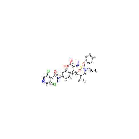 CC(C)CN([C@H](C)c1ccccc1)S(=O)(=O)N[C@@H](Cc1ccc(NC(=O)c2c(Cl)cncc2Cl)cc1)C(=O)O